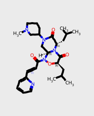 CC(C)C[C@H]1ON(C(=O)/C=C/c2ccccn2)[C@H]2CN(C3CCCN(C)C3)C(=O)[C@H](CC(C)C)N2C1=O